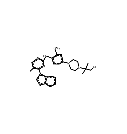 COc1cc(N2CCN(C(C)(C)CO)CC2)ccc1Nc1ncc(C)c(-c2cnc3ccccn23)n1